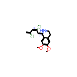 C=C(Cl)/C=C(Cl)\C=C1/NCCc2cc(OC)c(OC)cc21